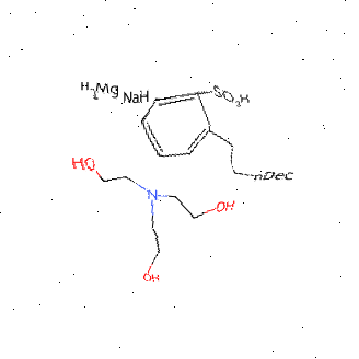 CCCCCCCCCCCCc1ccccc1S(=O)(=O)O.OCCN(CCO)CCO.[MgH2].[NaH]